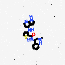 CNCC(NC(=O)c1sccc1Nc1ccnc2[nH]ccc12)c1ccccc1